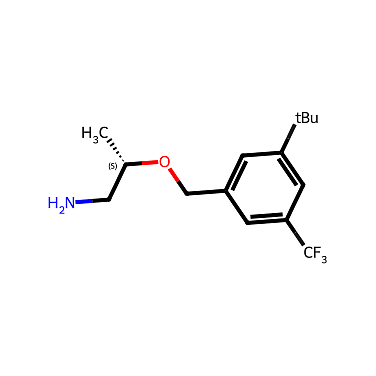 C[C@@H](CN)OCc1cc(C(C)(C)C)cc(C(F)(F)F)c1